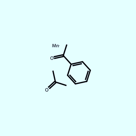 CC(=O)c1ccccc1.CC(C)=O.[Mn]